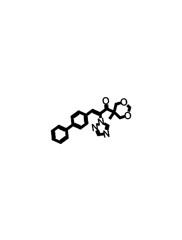 CC1(C(=O)C(=Cc2ccc(-c3ccccc3)cc2)n2cncn2)COCOC1